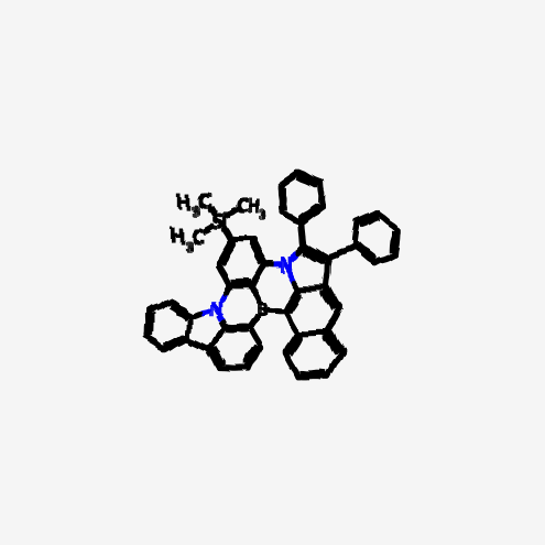 C[Si](C)(C)c1cc2c3c(c1)-n1c4ccccc4c4cccc(c41)B3c1c3ccccc3cc3c(-c4ccccc4)c(-c4ccccc4)n-2c13